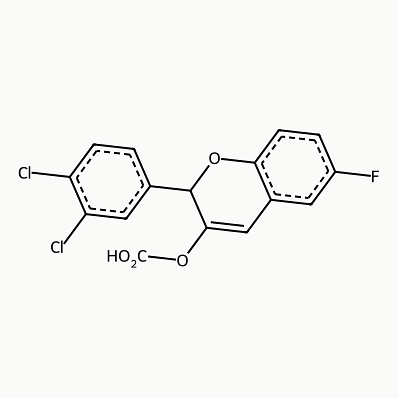 O=C(O)OC1=Cc2cc(F)ccc2OC1c1ccc(Cl)c(Cl)c1